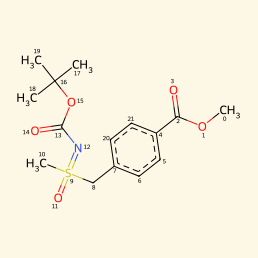 COC(=O)c1ccc(CS(C)(=O)=NC(=O)OC(C)(C)C)cc1